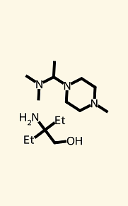 CC(N(C)C)N1CCN(C)CC1.CCC(N)(CC)CO